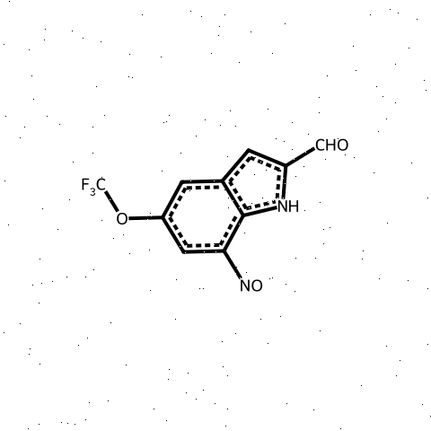 O=Cc1cc2cc(OC(F)(F)F)cc(N=O)c2[nH]1